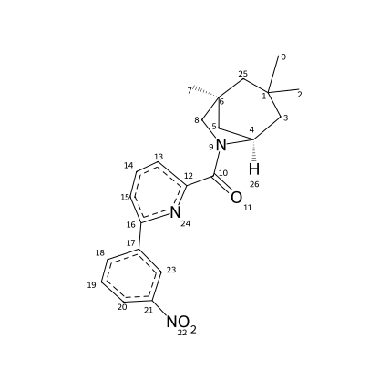 CC1(C)C[C@@H]2C[C@@](C)(CN2C(=O)c2cccc(-c3cccc([N+](=O)[O-])c3)n2)C1